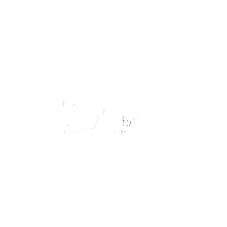 CO.ClCCl.N.O.O